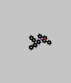 c1ccc(-c2ccc(N(c3ccc(-c4ccc5c(sc6ccccc65)c4-c4ccc5ccccc5c4)cc3)c3ccccc3-c3ccccc3)cc2)cc1